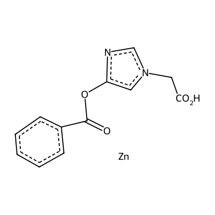 O=C(O)Cn1cnc(OC(=O)c2ccccc2)c1.[Zn]